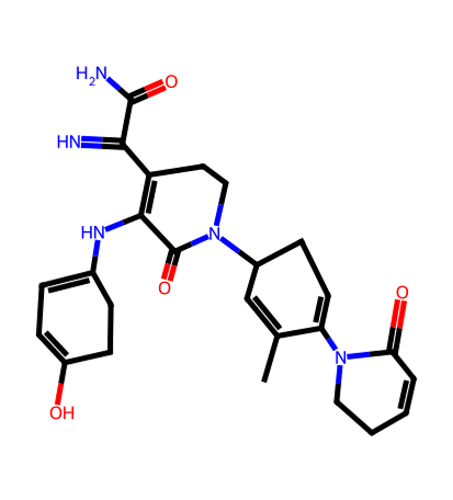 CC1=CC(N2CCC(C(=N)C(N)=O)=C(NC3=CC=C(O)CC3)C2=O)CC=C1N1CCC=CC1=O